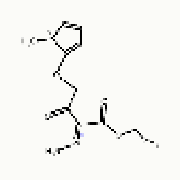 CCOC(=O)/C(=N/N)C(=O)COC1=CC=C[C@@H]1C